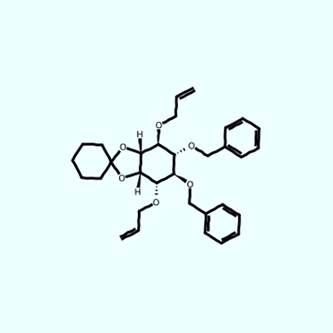 C=CCO[C@H]1[C@H](OCc2ccccc2)[C@@H](OCc2ccccc2)[C@H](OCC=C)[C@@H]2OC3(CCCCC3)O[C@H]12